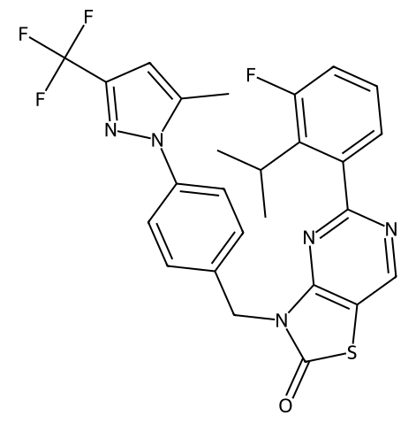 Cc1cc(C(F)(F)F)nn1-c1ccc(Cn2c(=O)sc3cnc(-c4cccc(F)c4C(C)C)nc32)cc1